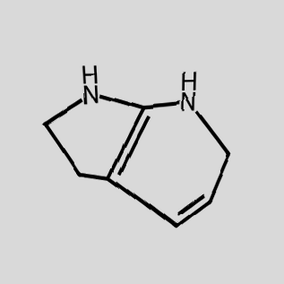 C1=CC2=C(NC1)NCC2